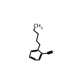 [C]#Cc1ccccc1CCCCC